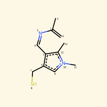 C=C(C)/N=C\c1c(CS)cn(C)c1C